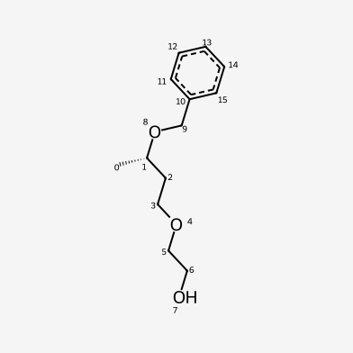 C[C@@H](CCOCCO)OCc1ccccc1